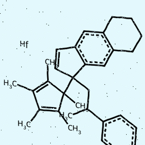 CC1=C(C)C(C)(C2(CC(C)c3ccccc3)C=Cc3cc4c(cc32)CCCC4)C(C)=C1C.[Hf]